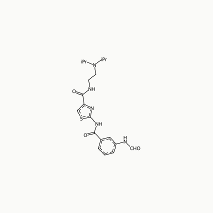 CC(C)N(CCNC(=O)c1csc(NC(=O)c2cccc(NC=O)c2)n1)C(C)C